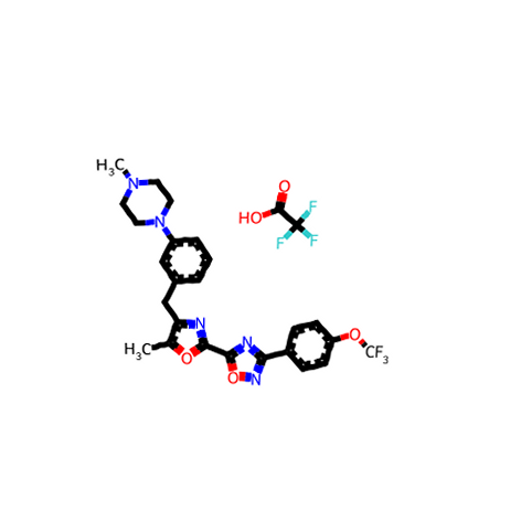 Cc1oc(-c2nc(-c3ccc(OC(F)(F)F)cc3)no2)nc1Cc1cccc(N2CCN(C)CC2)c1.O=C(O)C(F)(F)F